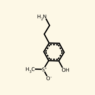 C[S+]([O-])c1cc(CCN)ccc1O